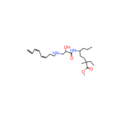 C=C/C=C\C=C/CCNCC(O)C(=O)NC(CCC)CCC(C)(CC)C(=O)OC